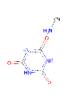 N#CN.O=c1[nH]c(=O)[nH]c(=O)[nH]1